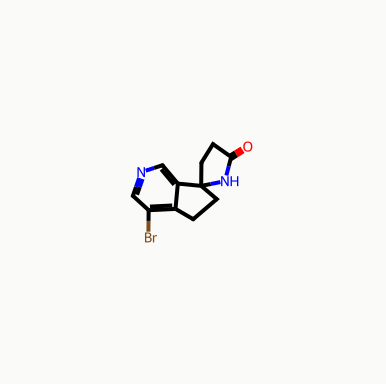 O=C1CCC2(CCc3c(Br)cncc32)N1